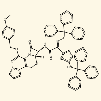 COc1ccc(COC(=O)C2=C(c3cccs3)CS[C@H]3[C@H](NC(=O)C(=NOC(c4ccccc4)(c4ccccc4)c4ccccc4)c4csc(NC(c5ccccc5)(c5ccccc5)c5ccccc5)n4)C(=O)N23)cc1